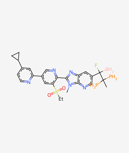 BC(F)(c1cnc2c(c1)nc(-c1ncc(-c3cc(C4CC4)ccn3)cc1S(=O)(=O)CC)n2C)C(C)(P)P